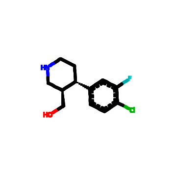 OC[C@H]1CNCC[C@@H]1c1ccc(Cl)c(F)c1